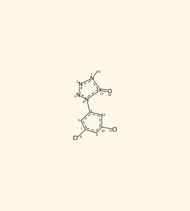 Cn1nnn(-c2cc(Cl)cc(Cl)c2)c1=O